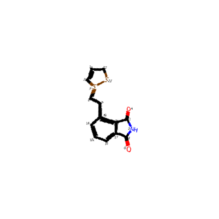 O=C1NC(=O)c2c(CC=S3C=CCS3)cccc21